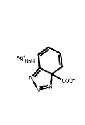 O=C([O-])C12C=CC=CC1=NN=N2.[Ag+].[NaH]